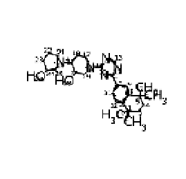 CC1(C)CCC(C)(C)c2cc(-c3ncnc(N4CCC([N+]5CCCC(O)C5)C(O)C4)n3)ccc21